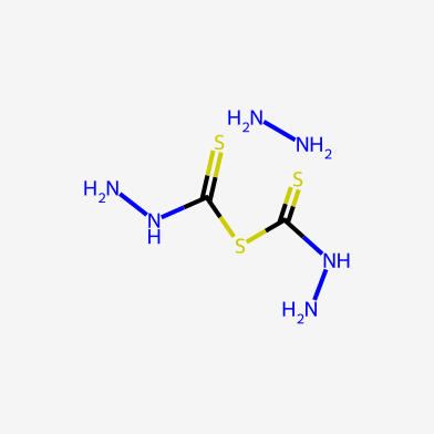 NN.NNC(=S)SC(=S)NN